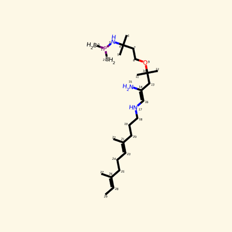 BP(B)NC(C)(C)CCOC(C)(C)C/C(N)=C/NCCC/C(C)=C/CC/C(C)=C/C